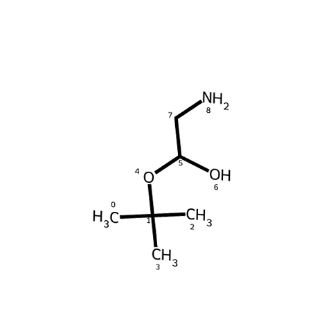 CC(C)(C)OC(O)CN